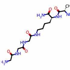 C[C@H](N)C(=O)N[C@@H](CCCCNC(=O)CNC(=O)CNC(=O)CN)C(N)=O